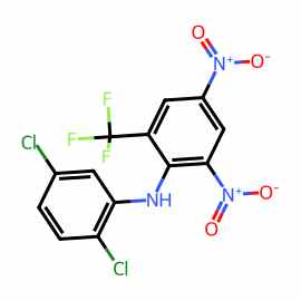 O=[N+]([O-])c1cc([N+](=O)[O-])c(Nc2cc(Cl)ccc2Cl)c(C(F)(F)F)c1